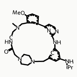 COc1ccc2cc1CN(C)CCNC(=O)CN1CCN(CC1)Cc1cc(cc(NC(C)C)c1)Nc1nccc-2n1